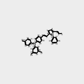 CC=Cc1ccc(C=Cc2ccc(N(c3ccc(C)cc3)c3cc(C)cc(C)c3)cc2)n1-c1ccccc1